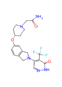 NC(=O)CN1CCC(Oc2ccc3c(c2)CN(c2cn[nH]c(=O)c2C(F)(F)F)C3)CC1